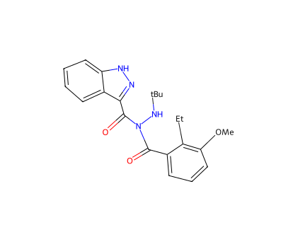 CCc1c(OC)cccc1C(=O)N(NC(C)(C)C)C(=O)c1n[nH]c2ccccc12